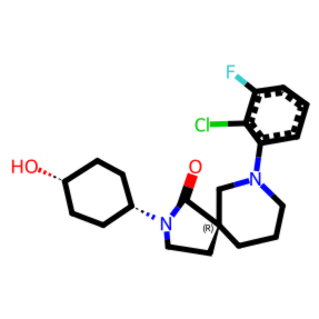 O=C1N([C@H]2CC[C@@H](O)CC2)CC[C@@]12CCCN(c1cccc(F)c1Cl)C2